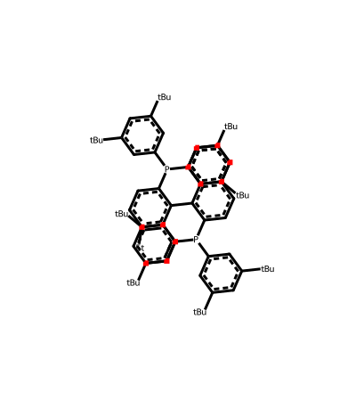 CC/C(=C\C(=C/CC(C)(C)C)P(c1cc(C(C)(C)C)cc(C(C)(C)C)c1)c1ccc2ccccc2c1-c1c(P(c2cc(C(C)(C)C)cc(C(C)(C)C)c2)c2cc(C(C)(C)C)cc(C(C)(C)C)c2)ccc2ccccc12)C(C)(C)C